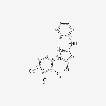 O=c1cc(Nc2ccccc2)[nH]n1-c1ccc(Cl)c(Cl)c1Cl